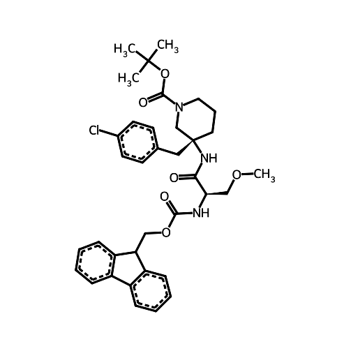 COC[C@@H](NC(=O)OCC1c2ccccc2-c2ccccc21)C(=O)N[C@@]1(Cc2ccc(Cl)cc2)CCCN(C(=O)OC(C)(C)C)C1